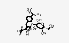 CC(C)c1ccc(Cc2c(O[C@@H]3[C@@H](O)[C@H](O)[C@@H](CO)O[C@H]3O)n[nH]c2C(F)(F)F)cc1